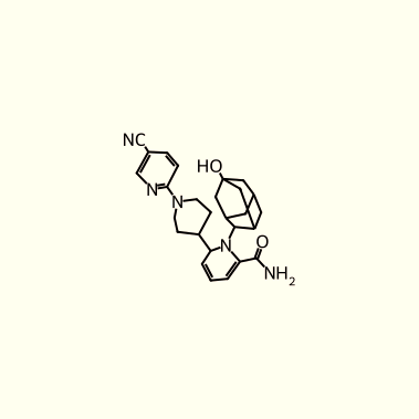 N#Cc1ccc(N2CCC(C3C=CC=C(C(N)=O)N3C3C4CC5CC3CC(O)(C5)C4)CC2)nc1